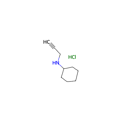 C#CCNC1CCCCC1.Cl